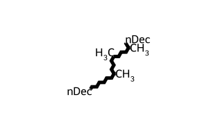 CCCCCCCCCCCCCCCCC(C)CCCC(C)CCCC(C)CCCCCCCCCCC